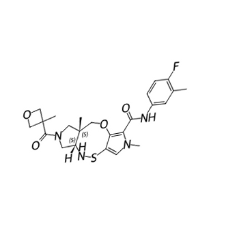 Cc1cc(NC(=O)c2c3c(cn2C)SN[C@@H]2CN(C(=O)C4(C)COC4)C[C@]2(C)CO3)ccc1F